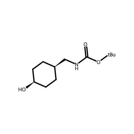 CC(C)(C)OC(=O)NC[C@H]1CC[C@@H](O)CC1